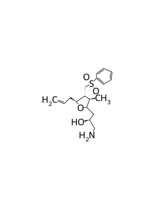 C=CC[C@@H]1OC(C[C@H](O)CN)[C@H](C)[C@H]1CS(=O)(=O)c1ccccc1